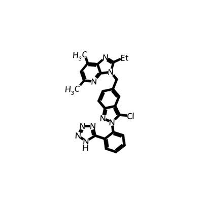 CCc1nc2c(C)cc(C)nc2n1Cc1ccc2nn(-c3ccccc3-c3nnn[nH]3)c(Cl)c2c1